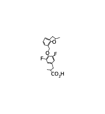 CC1Cc2cccc(COc3c(F)cc(CC(C)C(=O)O)cc3F)c2O1